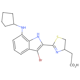 O=C(O)CC1CSC(c2[nH]c3c(NC4CCCC4)cccc3c2Br)=N1